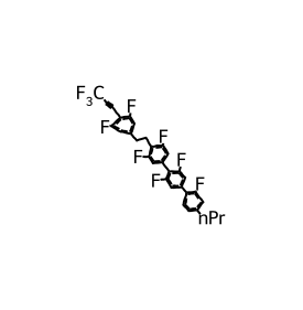 CCCc1ccc(-c2cc(F)c(-c3cc(F)c(CCc4cc(F)c(C#CC(F)(F)F)c(F)c4)c(F)c3)c(F)c2)c(F)c1